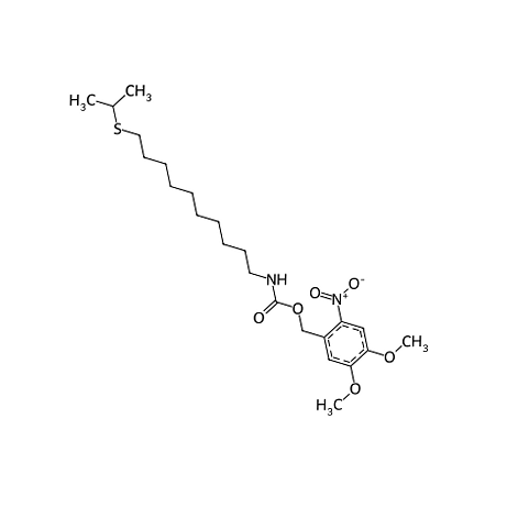 COc1cc(COC(=O)NCCCCCCCCCCSC(C)C)c([N+](=O)[O-])cc1OC